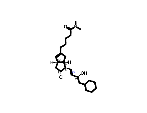 CN(C)C(=O)CCCCC1=C[C@H]2C[C@@H](O)[C@H](/C=C/[C@H](O)CC3CCCCC3)[C@H]2C1